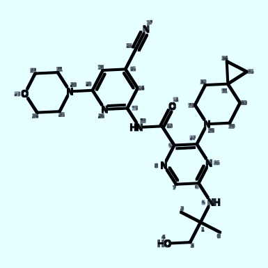 CC(C)(CO)Nc1cnc(C(=O)Nc2cc(C#N)cc(N3CCOCC3)n2)c(N2CCC3(CC2)CC3)n1